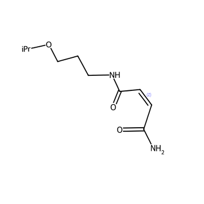 CC(C)OCCCNC(=O)/C=C\C(N)=O